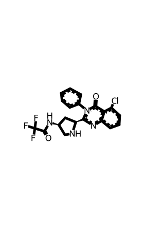 O=C(N[C@@H]1CN[C@H](c2nc3cccc(Cl)c3c(=O)n2-c2ccccc2)C1)C(F)(F)F